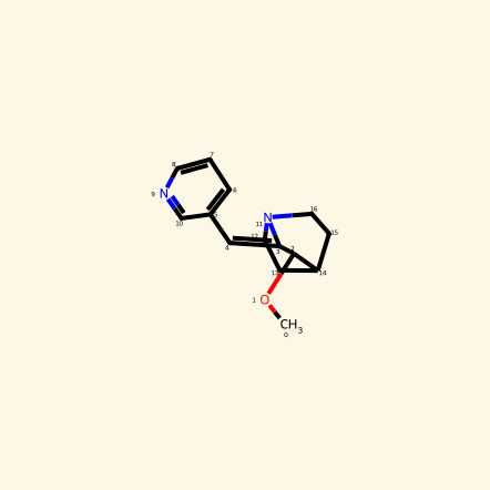 COC1/C(=C/c2cccnc2)N2CCC1CC2